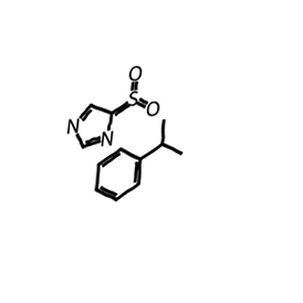 CC(C)c1ccccc1.O=S(=O)=C1C=NC=N1